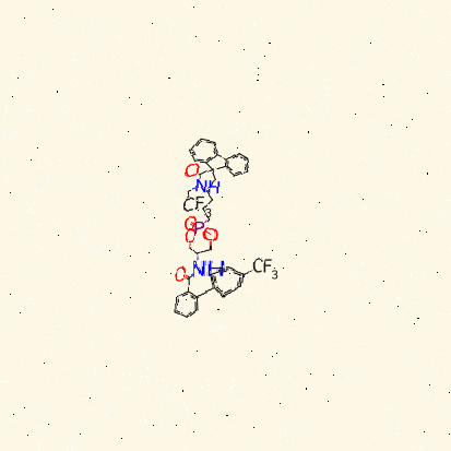 O=C(NC1COP(=O)(CCCCCC2(C(=O)NCC(F)(F)F)c3ccccc3-c3ccccc32)OC1)c1ccccc1-c1ccc(C(F)(F)F)cc1